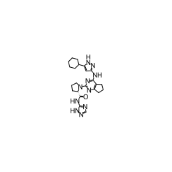 O=C(Nc1ncn[nH]1)[C@@H]1CCCN1c1nc2c(c(Nc3cc(C4CCCCC4)[nH]n3)n1)CCC2